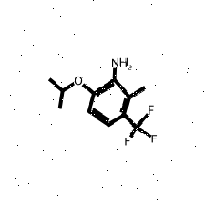 Cc1c(C(F)(F)F)ccc(OC(C)C)c1N